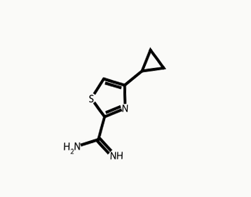 N=C(N)c1nc(C2CC2)cs1